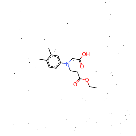 CCOC(=O)CCN(CC(=O)O)c1ccc(C)c(C)c1